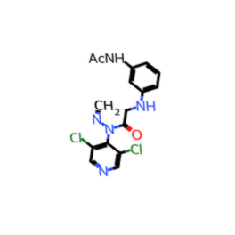 C=NN(C(=O)CNc1cccc(NC(C)=O)c1)c1c(Cl)cncc1Cl